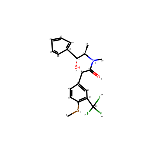 CSc1ccc(CC(=O)N(C)[C@H](C)[C@H](O)c2ccccc2)cc1C(F)(F)F